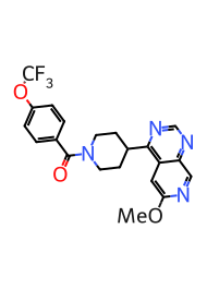 COc1cc2c(C3CCN(C(=O)c4ccc(OC(F)(F)F)cc4)CC3)ncnc2cn1